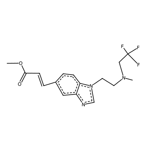 COC(=O)/C=C/c1ccc2c(c1)ncn2CCN(C)CC(F)(F)F